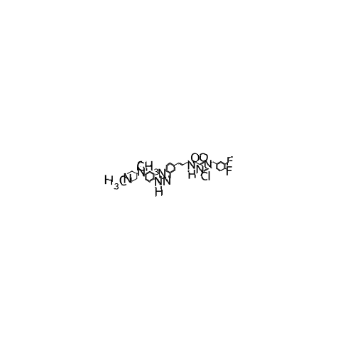 CN1CCC(N(C)c2ccc(Nc3ncc4cc(C=CCNC(=O)c5nc(Cl)cn(Cc6ccc(F)c(F)c6)c5=O)ccc4n3)cc2)CC1